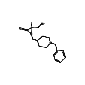 CC(C)CC1(C)C(=O)N1CC1CCN(Cc2ccccc2)CC1